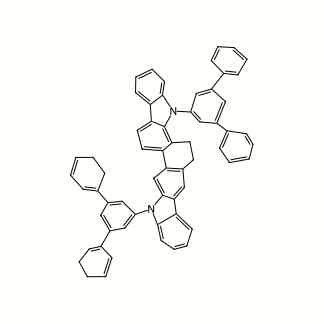 C1=CCCC(c2cc(C3=CCCC=C3)cc(-n3c4ccccc4c4cc5c(cc43)-c3ccc4c6ccccc6n(-c6cc(-c7ccccc7)cc(-c7ccccc7)c6)c4c3CC5)c2)=C1